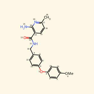 COc1ccc(Oc2ccc(CNC(=O)c3ccc(C)nc3N)cc2)cc1